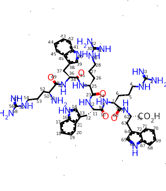 N=C(N)NCCC[C@H](NC(=O)[C@H](Cc1c[nH]c2ccccc12)NC(=O)[C@H](CCCNC(=N)N)NC(=O)[C@H](Cc1c[nH]c2ccccc12)NC(=O)[C@@H](N)CCCNC(=N)N)C(=O)N[C@@H](Cc1c[nH]c2ccccc12)C(=O)O